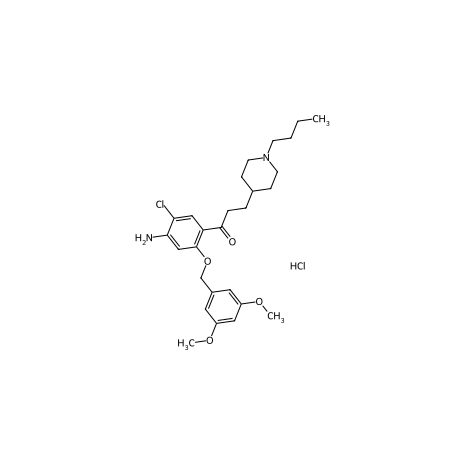 CCCCN1CCC(CCC(=O)c2cc(Cl)c(N)cc2OCc2cc(OC)cc(OC)c2)CC1.Cl